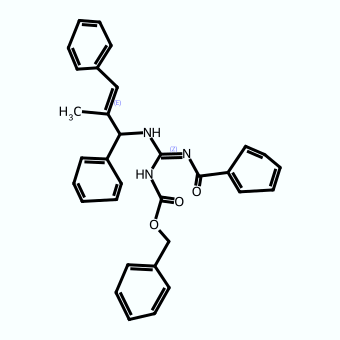 C/C(=C\c1ccccc1)C(N/C(=N/C(=O)c1ccccc1)NC(=O)OCc1ccccc1)c1ccccc1